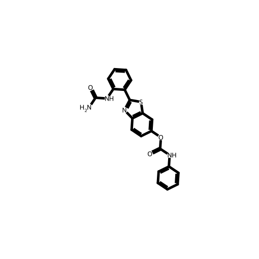 NC(=O)Nc1ccccc1-c1nc2ccc(OC(=O)Nc3ccccc3)cc2s1